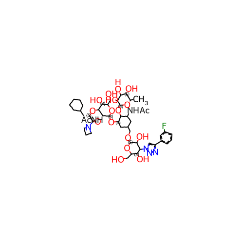 CC(=O)NC1CC(CO[C@H]2OC(CO)[C@@H](O)C(n3cc(-c4cccc(F)c4)nn3)C2O)C[C@@H](O[C@@H]2OC(CO)[C@H](O)C(O[C@@H](CC3CCCCC3)C(=O)N3CCC3)C2NC(C)=O)C1O[C@@H]1OC(C)[C@@H](O)C(O)C1O